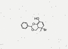 CC1(Br)C=CC(O)=C2OC(c3ccccc3)OCC21